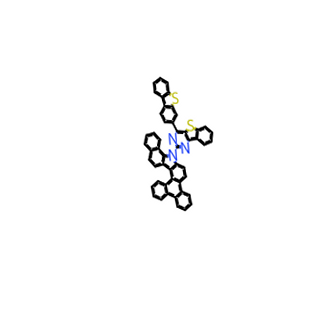 c1ccc2c(c1)ccc1c3c4c5ccccc5c5ccccc5c4ccc3n(-c3nc(-c4ccc5c(c4)sc4ccccc45)c4sc5ccccc5c4n3)c21